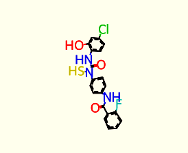 O=C(Nc1ccc(N(S)C(=O)Nc2ccc(Cl)cc2O)cc1)c1ccccc1F